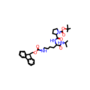 CC(C)NC(=O)C(CCCCNC(=O)OCC1c2ccccc2-c2ccccc21)NC(=O)C1CCCN1C(=O)OC(C)(C)C